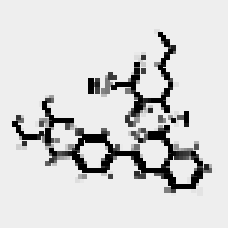 CCCCC(NC(=O)c1ccccc1/C=C/c1ccc(CN(CC)C(C)C)cc1)C(=O)C(N)=O